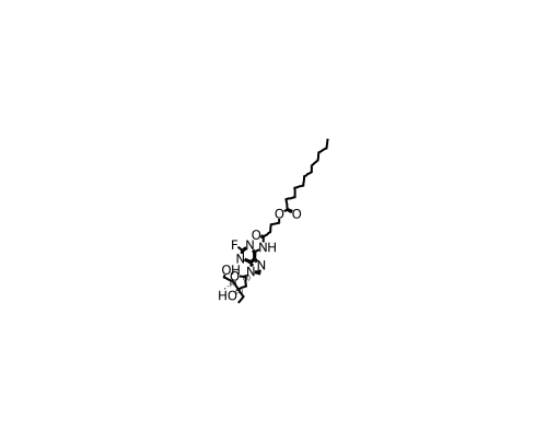 CCCCCCCCCCCC(=O)OCCCC(=O)Nc1nc(F)nc2c1ncn2[C@H]1C[C@@](O)(CC)[C@@](C)(CO)O1